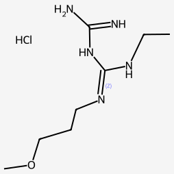 CCN/C(=N/CCCOC)NC(=N)N.Cl